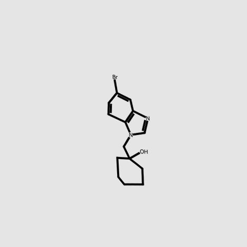 OC1(Cn2cnc3cc(Br)ccc32)CCCCC1